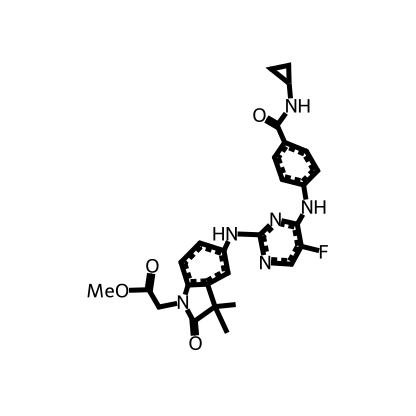 COC(=O)CN1C(=O)C(C)(C)c2cc(Nc3ncc(F)c(Nc4ccc(C(=O)NC5CC5)cc4)n3)ccc21